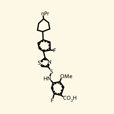 CCCC1CCC(c2ccc(-c3nc(SNc4cc(F)c(C(=O)O)cc4OC)cs3)c(F)c2)CC1